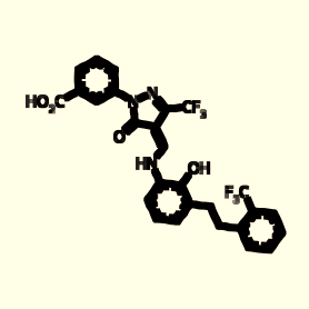 O=C(O)c1cccc(N2N=C(C(F)(F)F)/C(=C/Nc3cccc(CCc4ccccc4C(F)(F)F)c3O)C2=O)c1